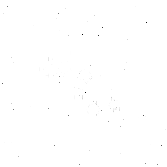 CCC1(C)OB(c2ccc3c(c2)C(=O)Nc2cccc(n2)-c2nncn2C(C)CCO3)OC1(C)C